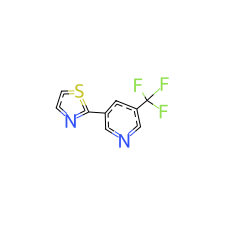 FC(F)(F)c1cncc(-c2nccs2)c1